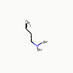 C=CCCN(CCCC)CCCC